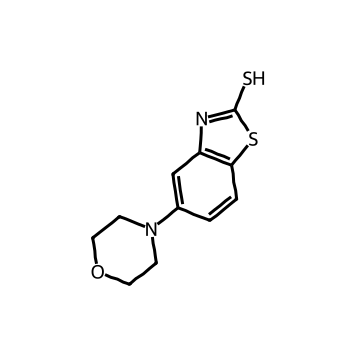 Sc1nc2cc(N3CCOCC3)ccc2s1